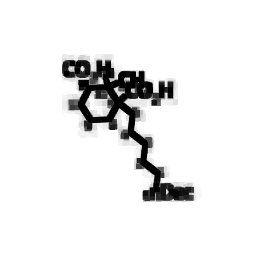 CCCCCCCCCCCCCCCC1(C(=O)O)CCCCC1(C)C(=O)O